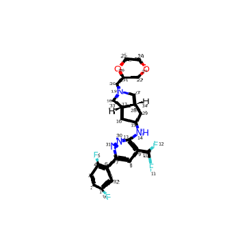 Fc1ccc(F)c(-c2cc(C(F)F)c(NC3C[C@@H]4CN(CC5COCCO5)C[C@@H]4C3)nn2)c1